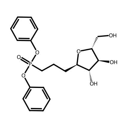 O=P(CCC[C@H]1O[C@H](CO)[C@@H](O)[C@@H]1O)(Oc1ccccc1)Oc1ccccc1